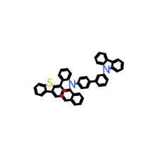 c1cc(-c2ccc(N(c3ccccc3-c3cccc4c3sc3ccccc34)c3cccc4ccccc34)cc2)cc(-n2c3ccccc3c3ccccc32)c1